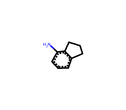 Nc1cccc2c1[C]CC2